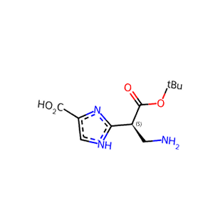 CC(C)(C)OC(=O)[C@@H](CN)c1nc(C(=O)O)c[nH]1